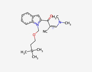 CN(C)/C=C(/C#N)C(=O)c1cc2ccccc2n1COCC[Si](C)(C)C